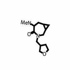 CNC1CC2CC2CN(CC2CCOC2)C1=O